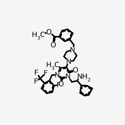 COC(=O)c1cccc(CN2CCN(c3c(C)n(Cc4c(F)cccc4C(F)(F)F)c(=O)n(CC(N)c4ccccc4)c3=O)CC2)c1